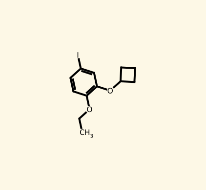 CCOc1ccc(I)cc1OC1CCC1